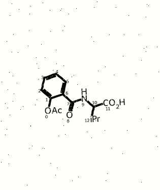 CC(=O)Oc1ccccc1C(=O)NC(C(=O)O)C(C)C